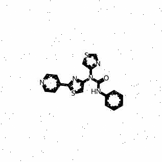 O=C(Nc1ccccc1)N(c1cscn1)c1csc(-c2ccncc2)n1